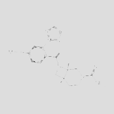 COc1ccc(C(=O)N2C[C@H]3CCN(C(=N)N)C[C@H]32)c(-n2nccn2)c1